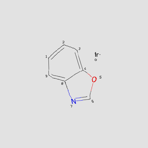 [Ir].c1ccc2ocnc2c1